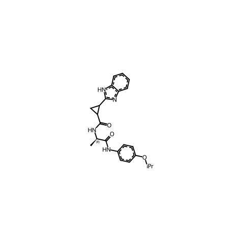 CC(C)Oc1ccc(NC(=O)[C@@H](C)NC(=O)C2CC2c2nc3ccccc3[nH]2)cc1